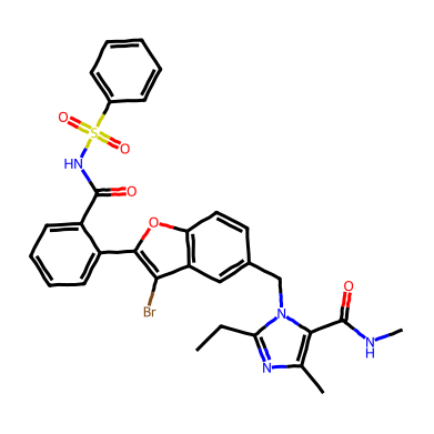 CCc1nc(C)c(C(=O)NC)n1Cc1ccc2oc(-c3ccccc3C(=O)NS(=O)(=O)c3ccccc3)c(Br)c2c1